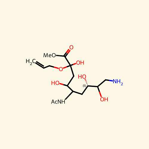 C=CCOC(O)(CC(O)C(C[C@H](O)C(O)CN)NC(C)=O)C(=O)OC